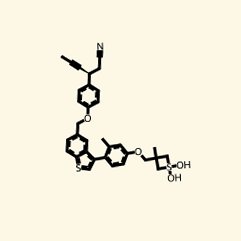 CC#C[C@@H](CC#N)c1ccc(OCc2ccc3scc(-c4ccc(OCC5(C)CS(O)(O)C5)cc4C)c3c2)cc1